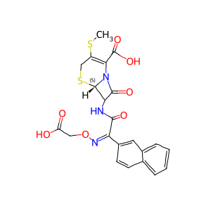 CSC1=C(C(=O)O)N2C(=O)C(NC(=O)C(=NOCC(=O)O)c3ccc4ccccc4c3)[C@@H]2SC1